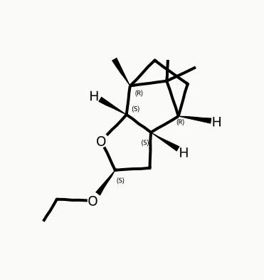 CCO[C@@H]1C[C@H]2[C@H]3CC[C@@](C)([C@H]2O1)C3(C)C